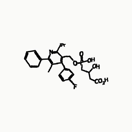 Cc1c(-c2ccccc2)nc(C(C)C)c(COP(=O)(O)CC(O)CC(=O)O)c1-c1ccc(F)cc1